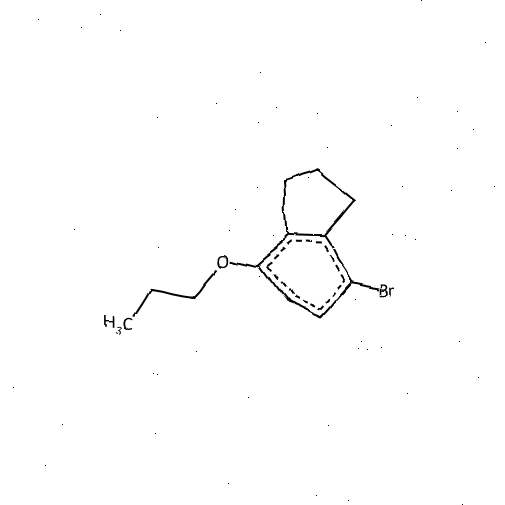 CCCOc1ccc(Br)c2c1CCC2